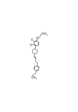 CCCOc1ccc(C2CCC(/C=C/CCc3ccc(CCC)cc3)CC2)c(F)c1F